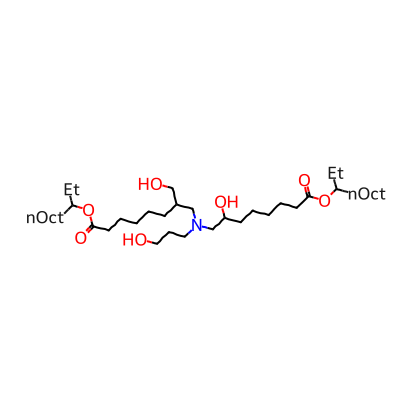 CCCCCCCCC(CC)OC(=O)CCCCCC(O)CN(CCCO)CC(CO)CCCCCC(=O)OC(CC)CCCCCCCC